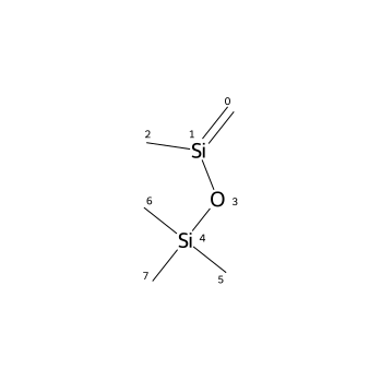 C=[Si](C)O[Si](C)(C)C